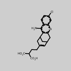 Nc1c2c(nc3cc(Cl)ccc13)CC1C=C(CCC(C(=O)O)C(=O)O)CC2C1